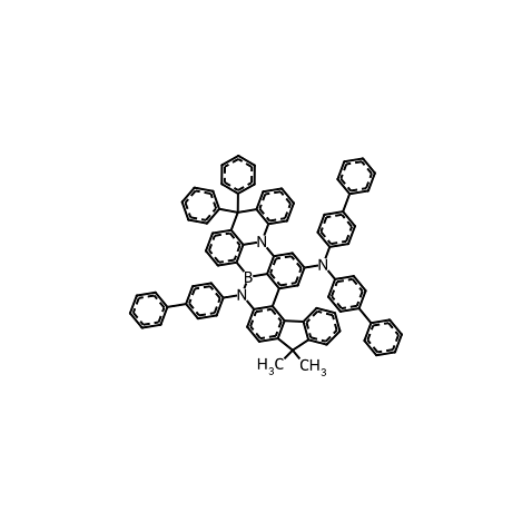 CC1(C)c2ccccc2-c2c1ccc1c2-c2cc(N(c3ccc(-c4ccccc4)cc3)c3ccc(-c4ccccc4)cc3)cc3c2B(c2cccc4c2N3c2ccccc2C4(c2ccccc2)c2ccccc2)N1c1ccc(-c2ccccc2)cc1